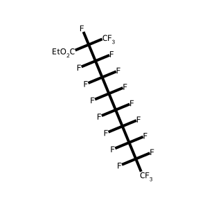 CCOC(=O)C(F)(C(F)(F)F)C(F)(F)C(F)(F)C(F)(F)C(F)(F)C(F)(F)C(F)(F)C(F)(F)C(F)(F)F